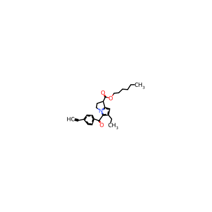 C#Cc1ccc(C(=O)c2c(CC)cc3n2CCC3C(=O)OCCCCCC)cc1